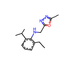 CCc1cccc(C(C)C)c1NCc1nnc(C)o1